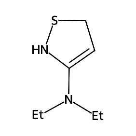 CCN(CC)C1=CCSN1